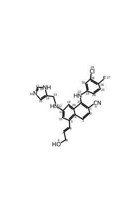 N#Cc1ccc2c(C=CCO)cc(NCc3cnc[nH]3)cc2c1Nc1ccc(F)c(Cl)c1